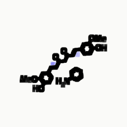 COc1cc(/C=C/C(=O)CC(=O)/C=C/c2ccc(O)c(OC)c2)ccc1O.Nc1ccccc1